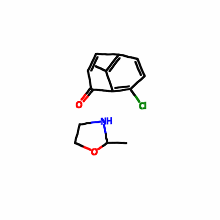 CC1NCCO1.Cc1c2ccc(Cl)c1C(=O)C=C2